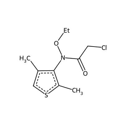 CCON(C(=O)CCl)c1c(C)csc1C